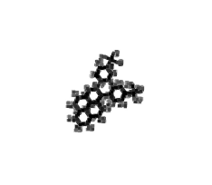 CC(C)(C)c1ccc(-c2cc3ccc4cccc5ccc(c2-c2ccc(C(C)(C)C)cc2)c3c45)cc1